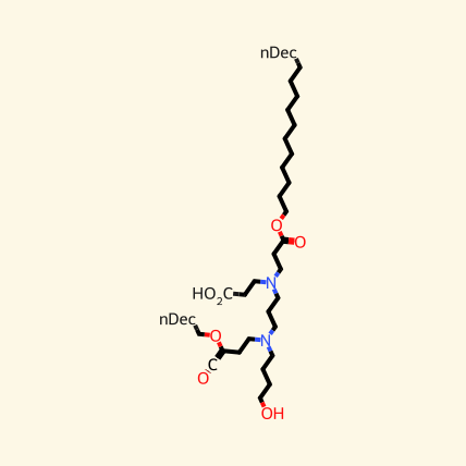 CCCCCCCCCCCCCCCCCCCCCOC(=O)CCN(CCCN(CCCCO)CCC(=C=O)OCCCCCCCCCCC)CCC(=O)O